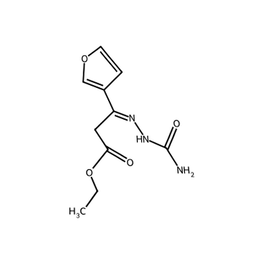 CCOC(=O)CC(=NNC(N)=O)c1ccoc1